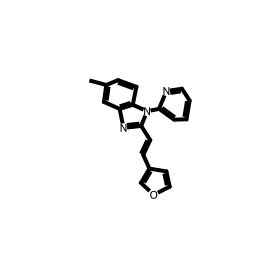 Cc1ccc2c(c1)nc(C=Cc1ccoc1)n2-c1ccccn1